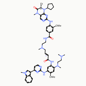 CC[C@@H]1C(=O)N(C)c2cnc(Nc3ccc(C(=O)NCCN(C)C/C=C/C(=O)Nc4cc(Nc5nccc(-c6cn(C)c7ccccc67)n5)c(OC)cc4N(C)CCN(C)C)cc3OC)nc2N1C1CCCC1